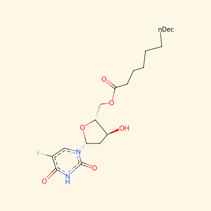 CCCCCCCCCCCCCCCC(=O)OC[C@H]1O[C@@H](n2cc(F)c(=O)[nH]c2=O)C[C@@H]1O